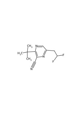 CC(C)(C)c1ncc(CC(F)F)nc1C#N